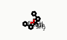 CCC1=Cc2c(-c3ccccc3)cccc2[CH]1[Zr]([CH3])([CH3])(=[SiH2])[CH]1C(CC)=Cc2c(-c3ccccc3)cccc21